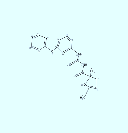 CC1=CCC(C(=O)NC(=S)Nc2cccc(Oc3ccccc3)c2)(C(F)(F)F)O1